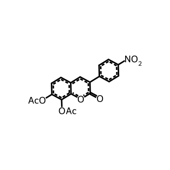 CC(=O)Oc1ccc2cc(-c3ccc([N+](=O)[O-])cc3)c(=O)oc2c1OC(C)=O